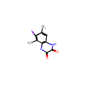 O=C1[N]c2c(cc(C(F)(F)F)c(I)c2[N+](=O)[O-])NC1=O